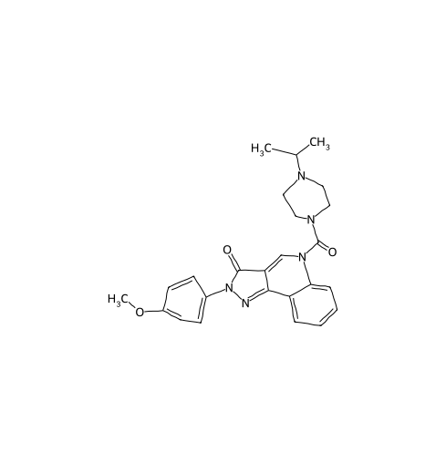 COc1ccc(-n2nc3c4ccccc4n(C(=O)N4CCN(C(C)C)CC4)cc-3c2=O)cc1